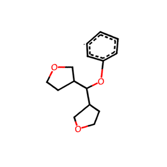 [c]1cccc(OC(C2CCOC2)C2CCOC2)c1